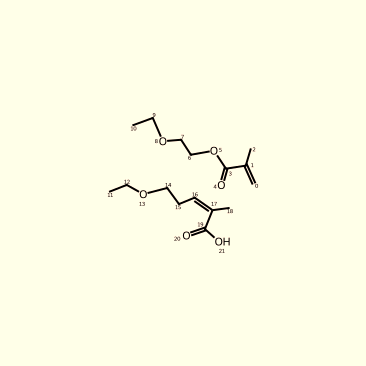 C=C(C)C(=O)OCCOCC.CCOCCC=C(C)C(=O)O